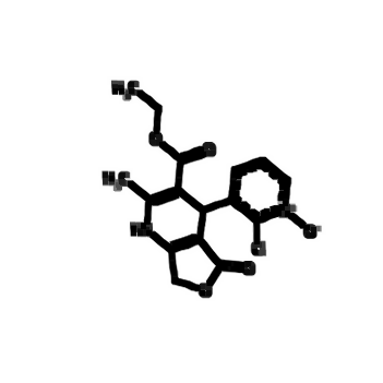 CCOC(=O)C1=C(C)NC2=C(C(=O)OC2)C1c1ccc[n+]([O-])c1Cl